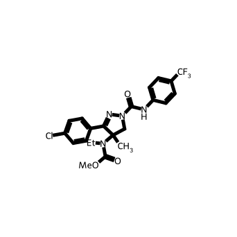 CCN(C(=O)OC)C1(C)CN(C(=O)Nc2ccc(C(F)(F)F)cc2)N=C1c1ccc(Cl)cc1